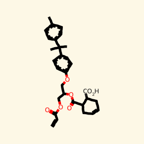 C=CC(=O)OCC(COc1ccc(C(C)(C)c2ccc(C)cc2)cc1)OC(=O)C1CC=CCC1C(=O)O